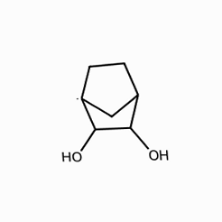 OC1[C]2CCC(C2)C1O